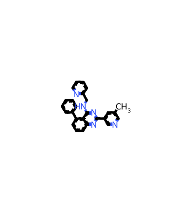 Cc1cncc(-c2nc(NCc3ccccn3)c3c(-c4ccccc4)cccc3n2)c1